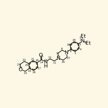 CCN(CC)c1ccc(N2CCN(CCNC(=O)c3ccc4c(c3)CCOC4)CC2)cc1